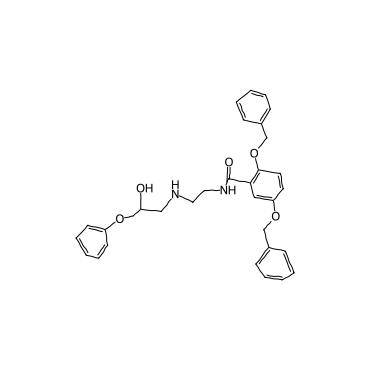 O=C(NCCNCC(O)COc1ccccc1)c1cc(OCc2ccccc2)ccc1OCc1ccccc1